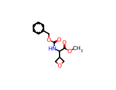 COC(=O)C(NC(=O)OCc1ccccc1)C1COC1